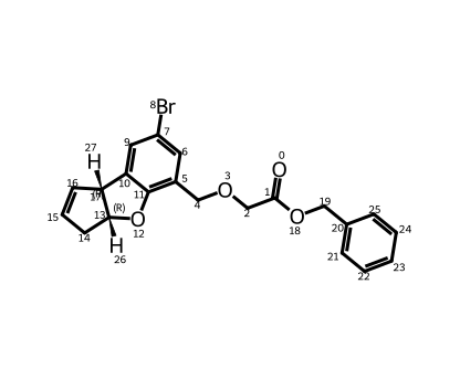 O=C(COCc1cc(Br)cc2c1O[C@@H]1CC=C[C@H]21)OCc1ccccc1